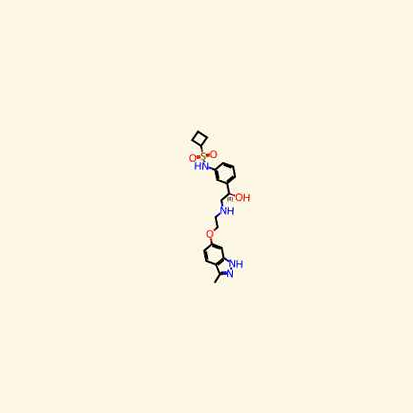 Cc1n[nH]c2cc(OCCNC[C@H](O)c3cccc(NS(=O)(=O)C4CCC4)c3)ccc12